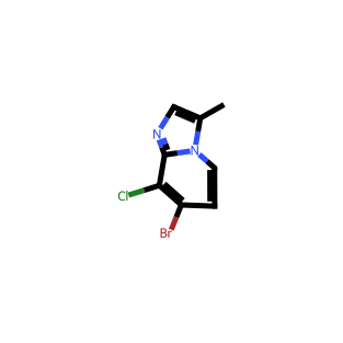 Cc1cnc2c(Cl)c(Br)ccn12